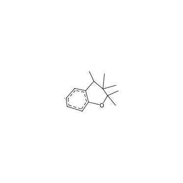 CC1c2c[c]ccc2OC(C)(C)C1(C)C